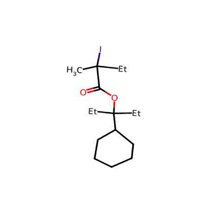 CCC(C)(I)C(=O)OC(CC)(CC)C1CCCCC1